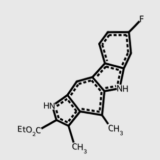 CCOC(=O)c1[nH]c2cc3c([nH]c4cc(F)ccc43)c(C)c2c1C